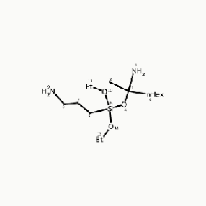 CCCCCCC(C)(N)O[Si](CCCN)(OCC)OCC